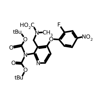 CN(Cc1c(Oc2ccc([N+](=O)[O-])cc2F)ccnc1N(C(=O)OC(C)(C)C)C(=O)OC(C)(C)C)C(=O)O